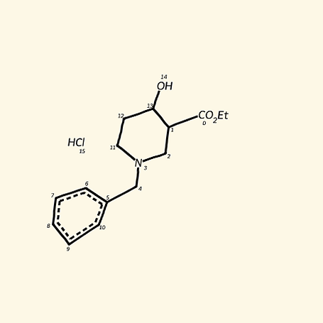 CCOC(=O)C1CN(Cc2ccccc2)CCC1O.Cl